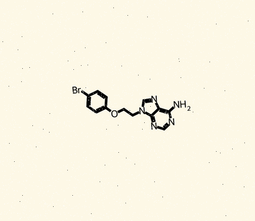 Nc1ncnc2c1ncn2CCOc1ccc(Br)cc1